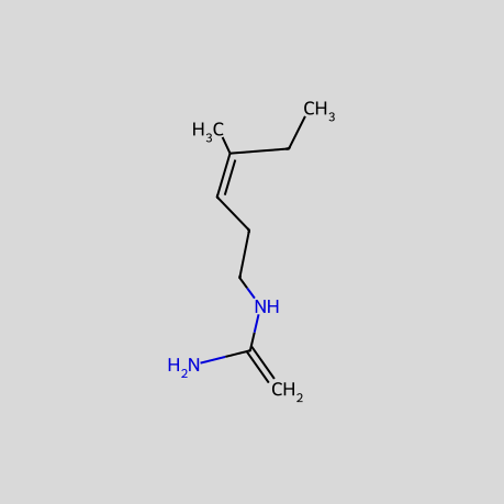 C=C(N)NCC/C=C(/C)CC